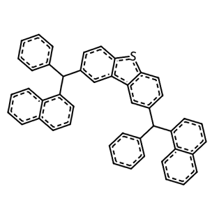 c1ccc(C(c2ccc3sc4ccc(C(c5ccccc5)c5cccc6ccccc56)cc4c3c2)c2cccc3ccccc23)cc1